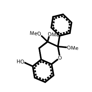 COC1(OC)Cc2c(O)cccc2OC1(OC)c1ccccc1